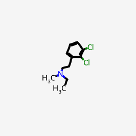 CCN(C)CCc1cccc(Cl)c1Cl